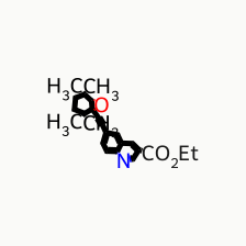 CCOC(=O)c1cnc2ccc(C#CC34OC3C(C)(C)CCC4(C)C)cc2c1